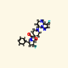 O=C1N2C(c3ccccc3)CC(F)C2OC12CCN(c1ccnc3c(F)cnn13)CC2